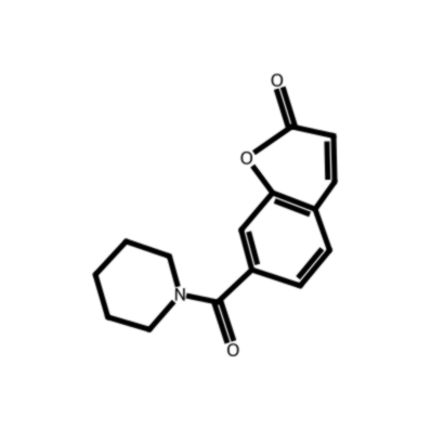 O=C(c1ccc2ccc(=O)oc2c1)N1CCCCC1